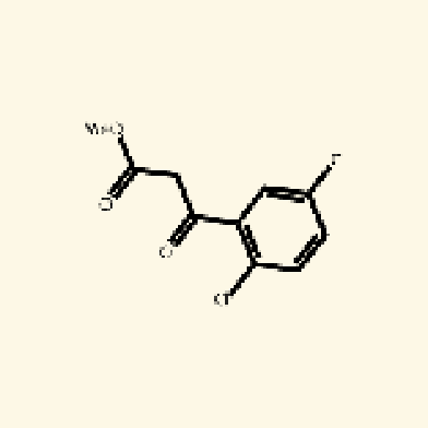 COC(=O)CC(=O)c1cc(Cl)ccc1Cl